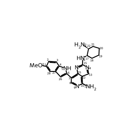 COc1ccc2[nH]c(-c3cnc(N)c4cnc(N[C@@H]5CCCC[C@@H]5N)nc34)cc2c1